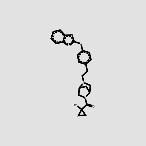 O=C(N1CC2CC1CN2CCc1ccc(Oc2nc3ccccc3s2)cc1)C1(O)CC1